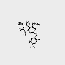 CNc1nc(Oc2cnc(C#N)cc2C)cc(NC(=O)OC(C)(C)C)c1N